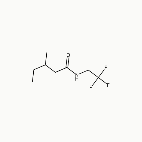 CCC(C)CC(=O)NCC(F)(F)F